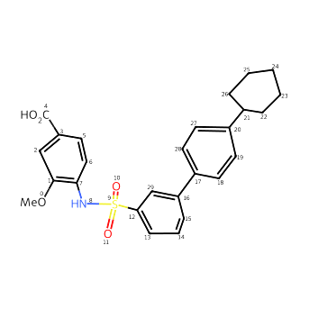 COc1cc(C(=O)O)ccc1NS(=O)(=O)c1cccc(-c2ccc(C3CCCCC3)cc2)c1